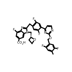 Cc1cc(F)c(COc2nccc(-c3cc(F)c(Cc4nc5c(F)cc(C(=O)O)cc5n4C[C@@H]4CCO4)cc3F)n2)cc1F